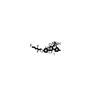 Cc1ccc(C2=C(c3nn[nH]n3)C(=O)NC(c3ccc(OCC(F)C(F)CCCF)cc3)(C(F)(F)F)C2)cc1